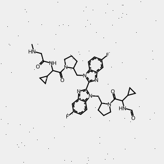 CNCC(=O)NC(C(=O)N1CCCC1Cn1c(-c2nc3cc(F)ccc3n2CC2CCCN2C(=O)C(NC=O)C2CC2)nc2cc(F)ccc21)C1CC1